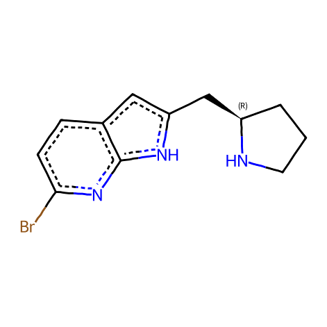 Brc1ccc2cc(C[C@H]3CCCN3)[nH]c2n1